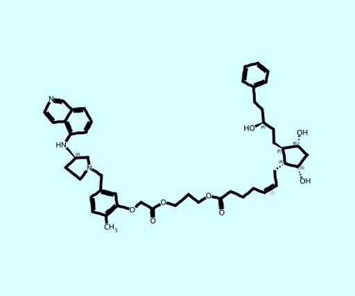 Cc1ccc(CN2CC[C@@H](Nc3cccc4cnccc34)C2)cc1OCC(=O)OCCCOC(=O)CCC/C=C\C[C@@H]1[C@@H](CC[C@@H](O)CCc2ccccc2)[C@H](O)C[C@@H]1O